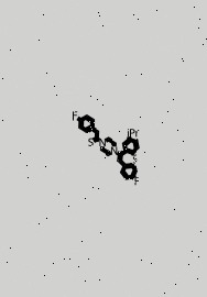 CC(C)c1ccc2c(c1)C(N1CCN(C(=S)Cc3ccc(F)cc3)CC1)Cc1ccc(F)cc1S2